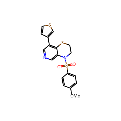 COc1ccc(S(=O)(=O)N2CCSc3c(-c4ccsc4)cncc32)cc1